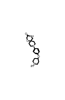 CC(C)N1CCC(Oc2ccc(N3CCC4(CC3)CNC(=O)CO4)cc2)CC1